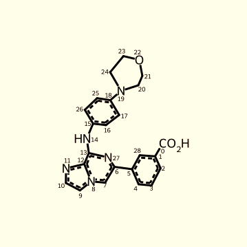 O=C(O)c1cccc(-c2cn3ccnc3c(Nc3ccc(N4CCOCC4)cc3)n2)c1